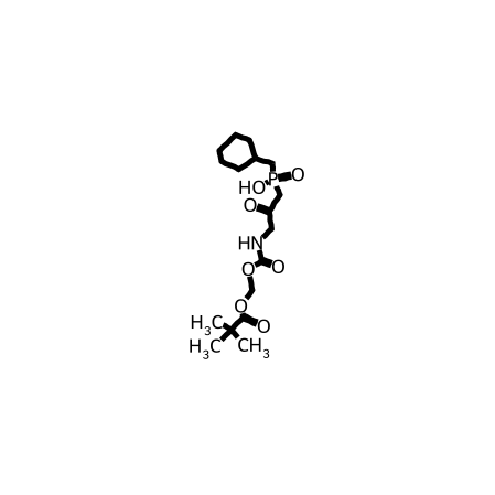 CC(C)(C)C(=O)OCOC(=O)NCC(=O)CP(=O)(O)CC1CCCCC1